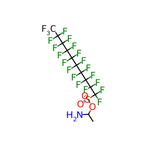 CC(N)OS(=O)(=O)C(F)(F)C(F)(F)C(F)(F)C(F)(F)C(F)(F)C(F)(F)C(F)(F)C(F)(F)C(F)(F)C(F)(F)F